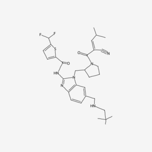 CC(C)C=C(C#N)C(=O)N1CCCC1Cn1c(NC(=O)c2ccc(C(F)F)s2)nc2ccc(CNCC(C)(C)C)cc21